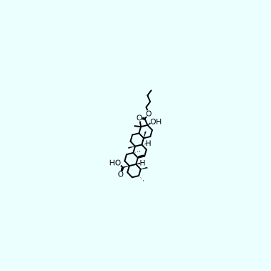 CCCCOC(=O)[C@]1(O)CC[C@@]2(C)C(CC[C@]3(C)[C@@H]2CC=C2[C@@H]4[C@@H](C)[C@H](C)CC[C@]4(C(=O)O)CC[C@]23C)C1(C)C